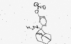 NC1(c2cccc(O[N+](=O)[O-])c2)C2CC3CC(C2)CC1C3